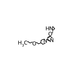 CCCCOCCC1CCN(c2cncc(OC[C@@H]3CCN3)c2)CC1